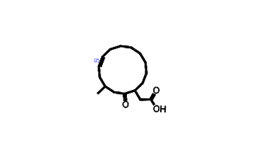 CC1C/C=C\CCCCCCCC(CC(=O)O)C(=O)C1